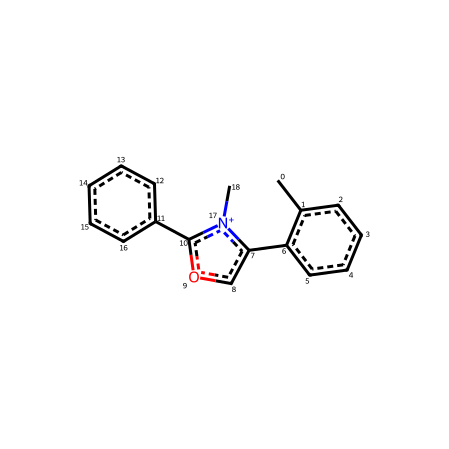 Cc1ccccc1-c1coc(-c2ccccc2)[n+]1C